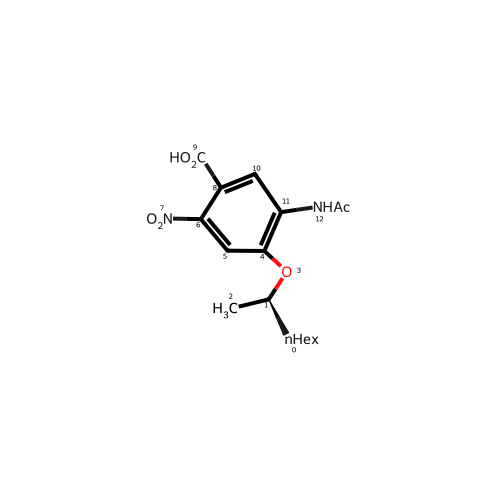 CCCCCC[C@@H](C)Oc1cc([N+](=O)[O-])c(C(=O)O)cc1NC(C)=O